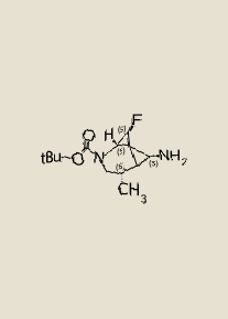 C[C@@H]1CN(C(=O)OC(C)(C)C)[C@@H]2[C@@H](F)C23C1[C@@H]3N